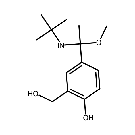 COC(C)(NC(C)(C)C)c1ccc(O)c(CO)c1